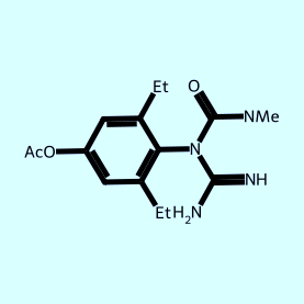 CCc1cc(OC(C)=O)cc(CC)c1N(C(=N)N)C(=O)NC